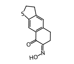 O=C1C(=NO)CCc2cc3c(cc21)SCC3